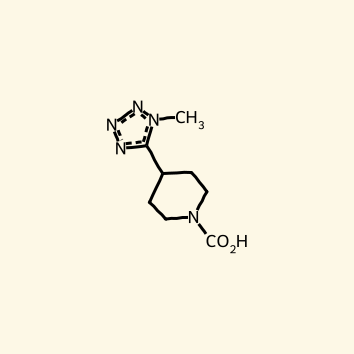 Cn1nnnc1C1CCN(C(=O)O)CC1